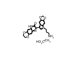 CC(=O)O.NCCCn1cc(-c2nc3cc4c(cc3[nH]c2=O)OCCO4)c2cc3c(cc21)OCO3